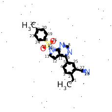 CCc1ccc(-c2ncnc3c2ccn3S(=O)(=O)c2ccc(C)cc2)cc1C#N